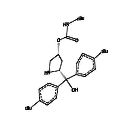 CCCCNC(=O)O[C@H]1CN[C@@H](C(O)(c2ccc(C(C)(C)C)cc2)c2ccc(C(C)(C)C)cc2)C1